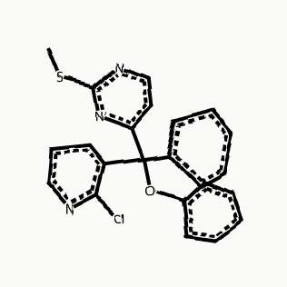 CSc1nccc(C(Oc2ccccc2)(c2ccccc2)c2cccnc2Cl)n1